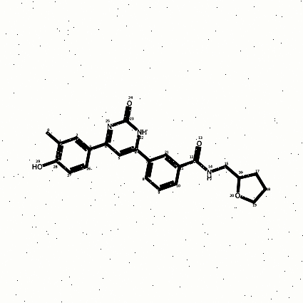 Cc1cc(-c2cc(-c3cccc(C(=O)NCC4CCCO4)c3)[nH]c(=O)n2)ccc1O